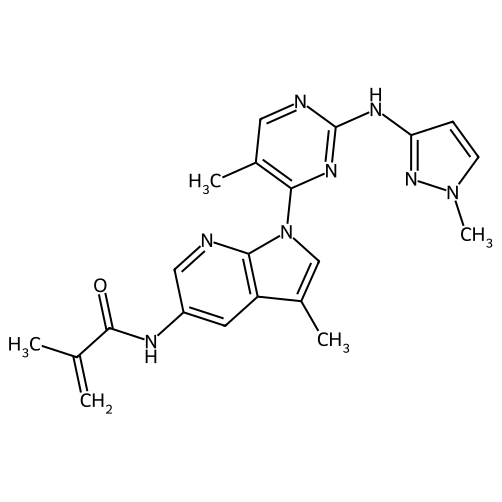 C=C(C)C(=O)Nc1cnc2c(c1)c(C)cn2-c1nc(Nc2ccn(C)n2)ncc1C